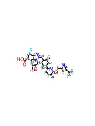 O=C(O)c1cc(F)c2nc(Cc3cc(F)c(-c4ccc(F)c(OCc5ncc(C(F)F)s5)n4)cc3F)n(CC3CCO3)c2c1